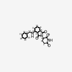 O=C1CC[C@H](N2C(=O)c3cccc(NCc4ccccc4)c3C2=O)C(=O)N1